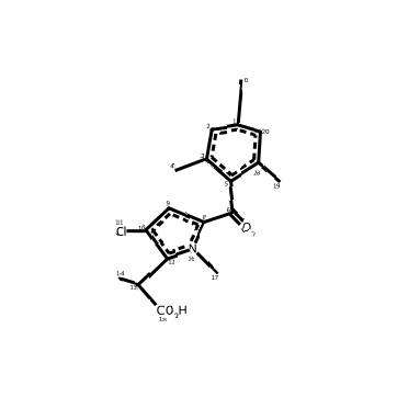 Cc1cc(C)c(C(=O)c2cc(Cl)c(C(C)C(=O)O)n2C)c(C)c1